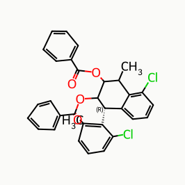 Cc1cccc(Cl)c1[C@H]1c2cccc(Cl)c2C(C)C(OC(=O)c2ccccc2)C1OC(=O)c1ccccc1